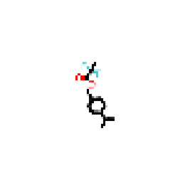 C=C(C)C1CC=C(COC(=O)C(C)(F)F)CC1